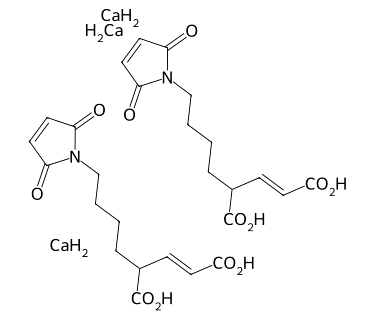 O=C(O)C=CC(CCCCN1C(=O)C=CC1=O)C(=O)O.O=C(O)C=CC(CCCCN1C(=O)C=CC1=O)C(=O)O.[CaH2].[CaH2].[CaH2]